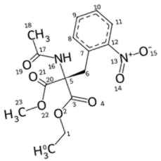 CCOC(=O)[C@@](Cc1ccccc1[N+](=O)[O-])(NC(C)=O)C(=O)OC